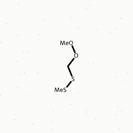 COOCSSC